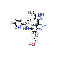 Cc1cc(-c2[nH]nc3c(OCCO)cc(NC(C)c4ccc(F)cn4)nc23)n[nH]1